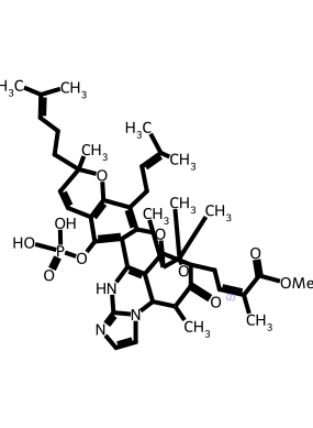 COC(=O)/C(C)=C\CC12OC(C)(C)C(C)C13Oc1c(CC=C(C)C)c4c(c(OP(=O)(O)O)c1C1=C3C(C(C)C2=O)n2ccnc2N1)C=CC(C)(CCC=C(C)C)O4